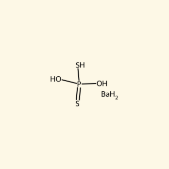 OP(O)(=S)S.[BaH2]